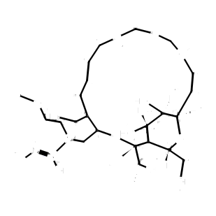 COCCN(CC1O[C@@H]([C@@H](C)O)C2[C@@H](CO)O[C@H](CCCCCCCCCCCC1CO)[C@H](O)[C@H]2O)/[N+](O)=N/O